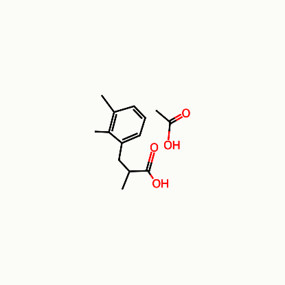 CC(=O)O.Cc1cccc(CC(C)C(=O)O)c1C